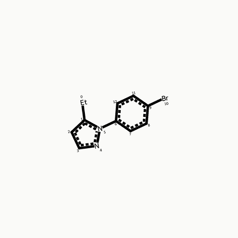 CCc1ccnn1-c1ccc(Br)cc1